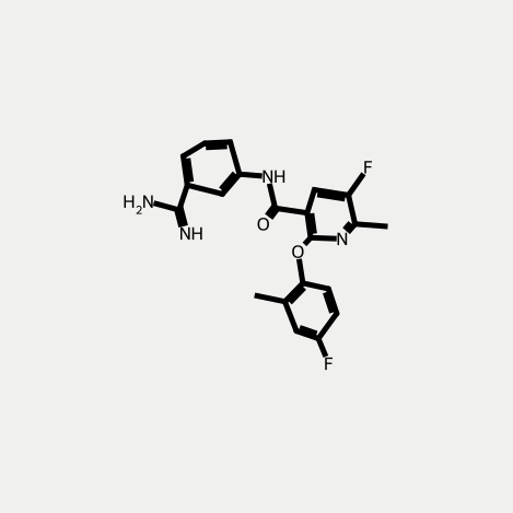 Cc1cc(F)ccc1Oc1nc(C)c(F)cc1C(=O)Nc1cccc(C(=N)N)c1